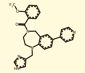 O=C(c1ccccc1OC(F)(F)F)N1CCN(Cc2c[nH]cn2)c2ccc(-c3ccncc3)cc2C1